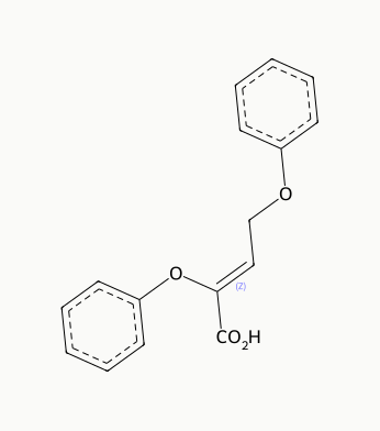 O=C(O)/C(=C/COc1ccccc1)Oc1ccccc1